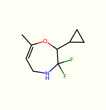 CC1=CCNC(F)(F)C(C2CC2)O1